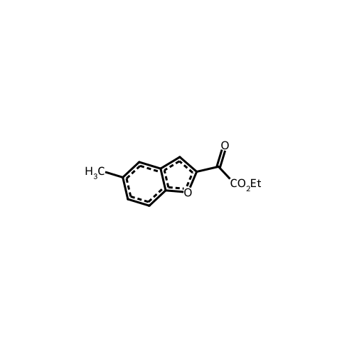 CCOC(=O)C(=O)c1cc2cc(C)ccc2o1